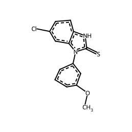 COc1cccc(-n2c(=S)[nH]c3ccc(Cl)cc32)c1